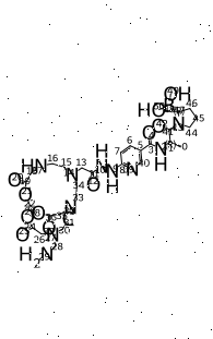 C[C@@H](NC(=O)c1ccc(NNC(=O)CN2CCNCC(=O)OC3OC(=O)CN(CN)CCN(CC2)CC(=O)O3)nc1)C(=O)N1CCC[C@H]1B(O)O